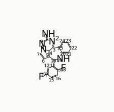 Nc1nc2c3c(ccn3n1)C(c1cc(F)ccc1F)Nc1ccccc1-2